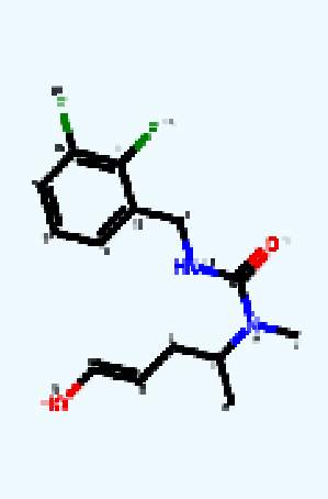 CC(CC=CO)N(C)C(=O)NCc1cccc(F)c1F